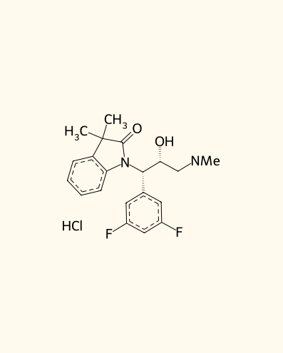 CNC[C@@H](O)[C@H](c1cc(F)cc(F)c1)N1C(=O)C(C)(C)c2ccccc21.Cl